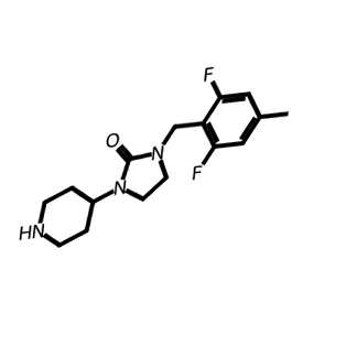 Cc1cc(F)c(CN2CCN(C3CCNCC3)C2=O)c(F)c1